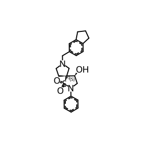 O=S1(=O)N(c2ccccc2)C[C@H](O)[C@]12CCN(Cc1ccc3c(c1)CCC3)C2